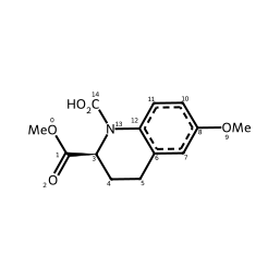 COC(=O)[C@@H]1CCc2cc(OC)ccc2N1C(=O)O